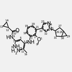 COc1c(NC(/C=C(\N)NC(=O)C2CC2)=C(\C)N)cccc1-c1cnn(C2CC3CC3C2)c1